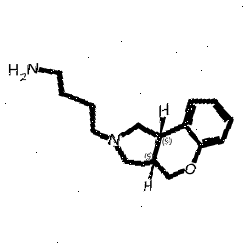 NCCCCN1C[C@H]2COc3ccccc3[C@H]2C1